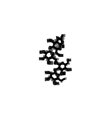 CCC1O[C@H](OC2C(O)[C@H](O)C(CO)O[C@@H]2OCC2O[C@@H](O[C@@H]3C(CO)O[C@@H]4OC(C)=NC4C3O)C(O)C(O)[C@@H]2O)C(O)C(O)[C@@H]1O